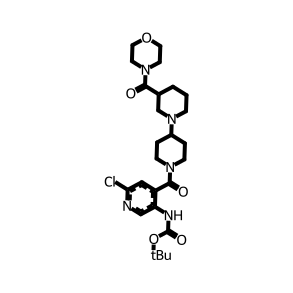 CC(C)(C)OC(=O)Nc1cnc(Cl)cc1C(=O)N1CCC(N2CCCC(C(=O)N3CCOCC3)C2)CC1